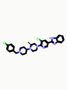 C[C@H]1CN(c2ncc(-c3nc4ccccc4[nH]3)cc2Cl)CCN1C1CCN(Cc2ccc(Cl)cc2)CC1